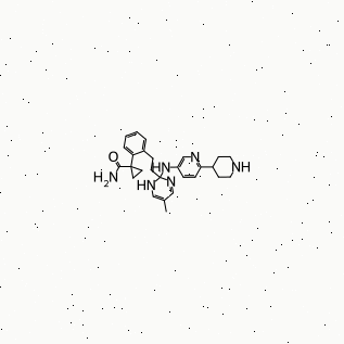 CC1=CNC(CCc2ccccc2C2(C(N)=O)CC2)(Nc2ccc(C3CCNCC3)nc2)N=C1